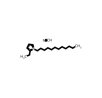 C#N.CCCCCCCCCCCCn1cccc1CC